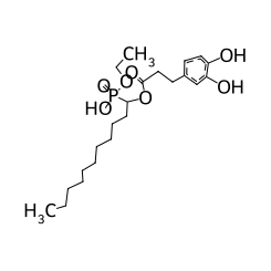 CCCCCCCCCCC(OC(=O)CCc1ccc(O)c(O)c1)P(=O)(O)OCC